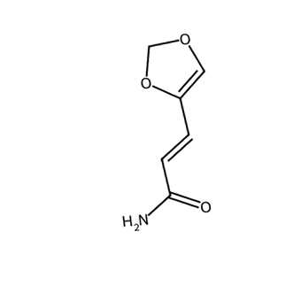 NC(=O)C=CC1=COCO1